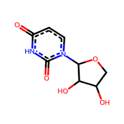 O=c1ccn(C2OCC(O)C2O)c(=O)[nH]1